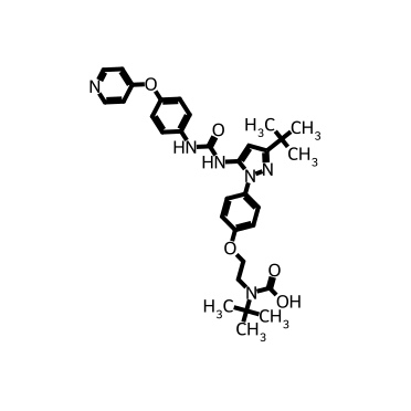 CC(C)(C)c1cc(NC(=O)Nc2ccc(Oc3ccncc3)cc2)n(-c2ccc(OCCN(C(=O)O)C(C)(C)C)cc2)n1